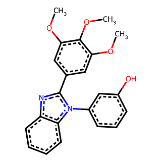 COc1cc(-c2nc3ccccc3n2-c2cccc(O)c2)cc(OC)c1OC